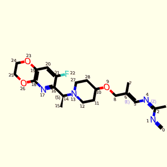 C=N/C(C)=N\C=C(/C)COC1CCN([C@@H](C)c2nc3c(cc2F)OCCO3)CC1